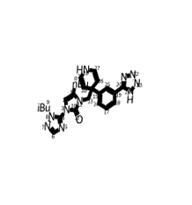 CCCCc1cn(-c2ncnn2C(C)CC)c(=O)n1CC1(c2cccc(-c3nnn[nH]3)c2)C=CNC=C1